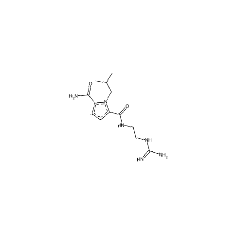 CC(C)Cn1c(C(N)=O)[c]cc1C(=O)NCCNC(=N)N